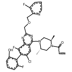 C=CC(=O)N1C[C@H](C)N(c2nc(COCc3ncccc3F)nc3c(F)c(-c4c(O)cccc4F)c(Cl)cc23)C[C@H]1C